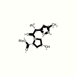 COC(=O)[C@H]1C[C@@H](O)CN1C(=O)[C@@H](c1cc(C)no1)C(C)C